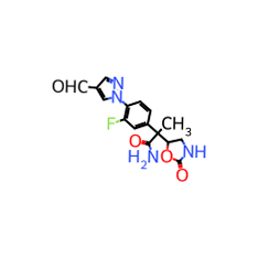 CC(C(N)=O)(c1ccc(-n2cc(C=O)cn2)c(F)c1)C1CNC(=O)O1